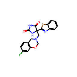 O=C1NC(=O)C(CN2COc3cc(F)ccc3C2)(c2nc3ccccc3s2)N1